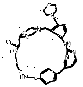 O=C1NCCCNCc2ccc(cc2)-c2ccnc(n2)Nc2ccc(N3CCOCC3)c(c2)CN2CCC1CC2